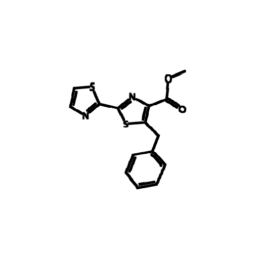 COC(=O)c1nc(-c2nccs2)sc1Cc1ccccc1